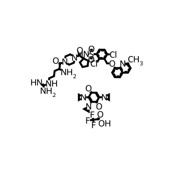 Cc1ccc2cccc(OCc3c(Cl)ccc(S(=O)(=O)NC4(C(=O)N5CCN(C(=O)C(N)CCCNC(=N)N)CC5)CCCC4)c3Cl)c2n1.O=C(O)C(F)(F)F.O=C1C=C(N2CC2)C(=O)C(N2CC2)=C1N1CC1